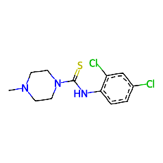 CN1CCN(C(=S)Nc2ccc(Cl)cc2Cl)CC1